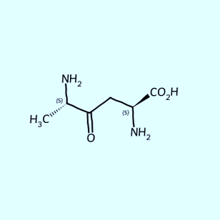 C[C@H](N)C(=O)C[C@H](N)C(=O)O